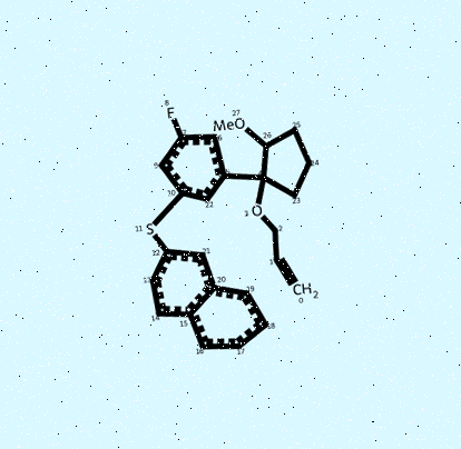 C=CCOC1(c2cc(F)cc(Sc3ccc4ccccc4c3)c2)CCCC1OC